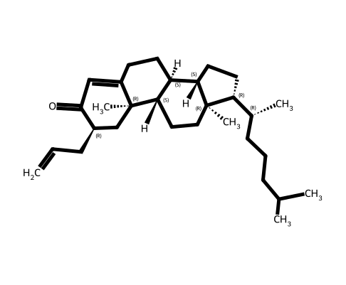 C=CC[C@@H]1C[C@@]2(C)C(=CC1=O)CC[C@H]1[C@@H]3CC[C@H]([C@H](C)CCCC(C)C)[C@@]3(C)CC[C@@H]12